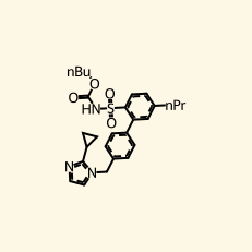 CCCCOC(=O)NS(=O)(=O)c1ccc(CCC)cc1-c1ccc(Cn2ccnc2C2CC2)cc1